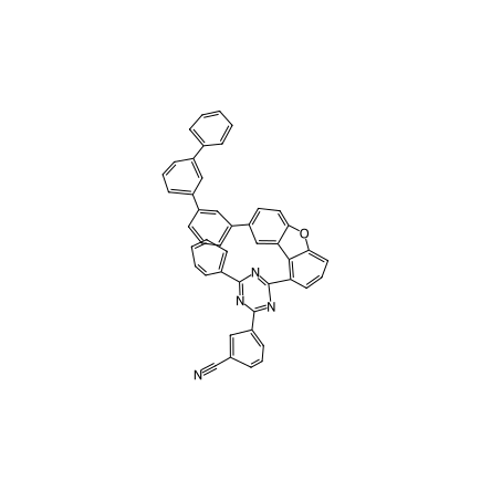 N#Cc1cccc(-c2nc(-c3ccccc3)nc(-c3cccc4oc5ccc(-c6cccc(-c7cccc(-c8ccccc8)c7)c6)cc5c34)n2)c1